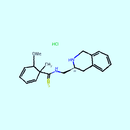 COC1C=CC=CC1(C)C(=S)NC[C@@H]1Cc2ccccc2CN1.Cl